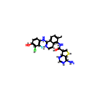 Cc1ccc2c(Nc3ccc(O)c(Cl)c3F)nccc2c1NC(=O)c1csc2c(N)ncnc12